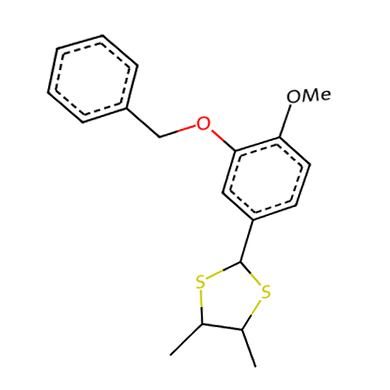 COc1ccc(C2SC(C)C(C)S2)cc1OCc1ccccc1